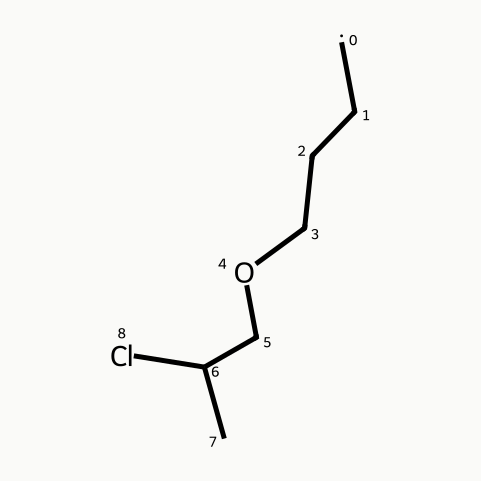 [CH2]CCCOCC(C)Cl